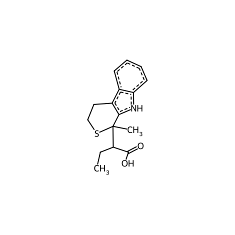 CCC(C(=O)O)C1(C)SCCc2c1[nH]c1ccccc21